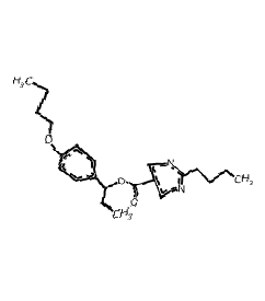 CCCCOc1ccc(C(CC)OC(=O)c2cnc(CCCC)nc2)cc1